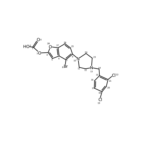 O=C(O)Oc1cc2c(Br)c(N3CCN(Cc4ccc(Cl)cc4Cl)CC3)ccc2o1